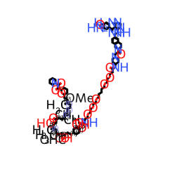 CO[C@@H](CC1CCCC(C(=O)C(=O)N2CCCCC2)O1)/C(C)=C/C=C/C=C/[C@@H](C)C[C@@H](C)C(=O)C[C@H](O)/C(C)=C/[C@@H](C)[C@H](O)C[C@@H](CC[C@@H]1CC[C@@H](OC(=O)NCCOCCOCCOCCCCCOCCOCCC(=O)NC2CCN(CC(=O)N3CCc4cc(CNc5ncnc(N)c5C(=N)c5ccc6o[nH]c6c5)ccc4C3)CC2)[C@H](O)C1)OC=O